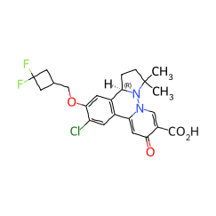 CC1(C)CC[C@@H]2c3cc(OCC4CC(F)(F)C4)c(Cl)cc3-c3cc(=O)c(C(=O)O)cn3N21